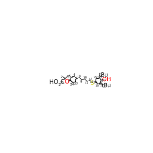 CC(C)(Oc1ccc(CCCCCSc2cc(C(C)(C)C)c(O)c(C(C)(C)C)c2)cc1)C(=O)O